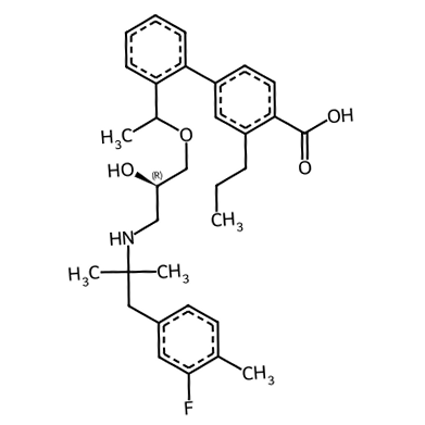 CCCc1cc(-c2ccccc2C(C)OC[C@H](O)CNC(C)(C)Cc2ccc(C)c(F)c2)ccc1C(=O)O